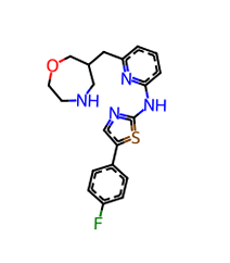 Fc1ccc(-c2cnc(Nc3cccc(CC4CNCCOC4)n3)s2)cc1